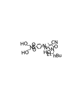 CCCCC(CC)Cn1c(O)c(N=Nc2ccc(S(=O)(=O)N(CCO)CCO)cc2)c(C)c(C#N)c1=O